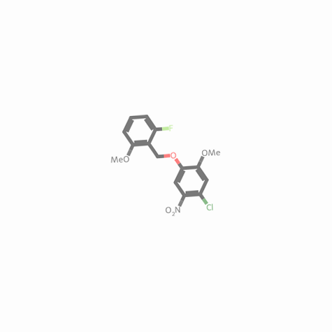 COc1cc(Cl)c([N+](=O)[O-])cc1OCc1c(F)cccc1OC